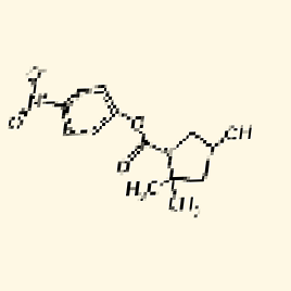 CC1(C)CC(O)CN1C(=O)Oc1ccc([N+](=O)[O-])cc1